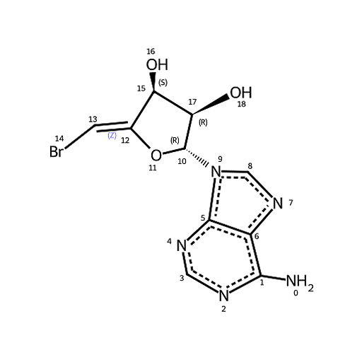 Nc1ncnc2c1ncn2[C@@H]1O/C(=C\Br)[C@@H](O)[C@H]1O